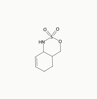 O=S1(=O)NC2C=CCCC2CO1